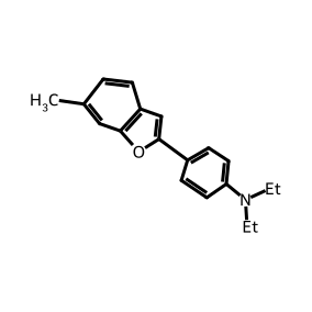 CCN(CC)c1ccc(-c2cc3ccc(C)cc3o2)cc1